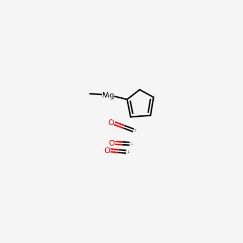 [CH3][Mg][C]1=CC=CC1.[C]=O.[C]=O.[C]=O